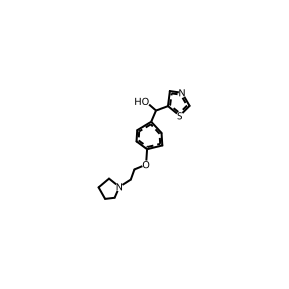 OC(c1ccc(OCCN2CCCC2)cc1)c1cncs1